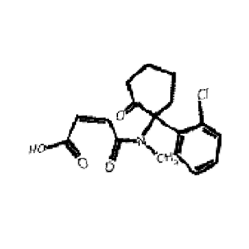 CN(C(=O)/C=C\C(=O)O)C1(c2ccccc2Cl)CCCCC1=O